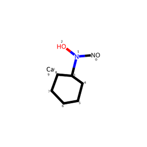 O=NN(O)C1CCCCC1.[Ca]